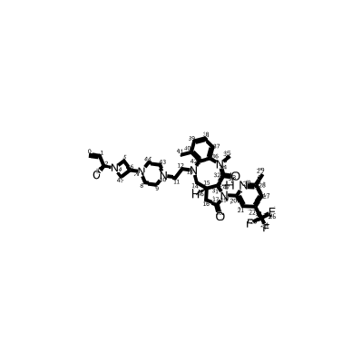 C=CC(=O)N1CC(N2CCN(CCN3C[C@H]4CC(=O)N(c5cc(C(F)(F)F)cc(C)n5)[C@@H]4C(=O)N(C)c4cccc(C)c43)CC2)C1